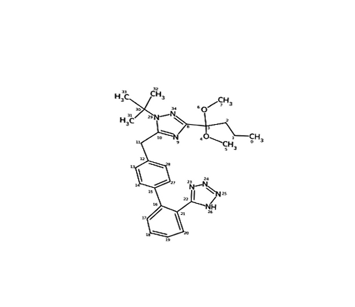 CCCC(OC)(OC)c1nc(Cc2ccc(-c3ccccc3-c3nnn[nH]3)cc2)n(C(C)(C)C)n1